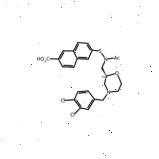 CC(=O)N(C[C@@H]1CN(Cc2ccc(Cl)c(Cl)c2)CCO1)Sc1ccc2cc(C(=O)O)ccc2c1